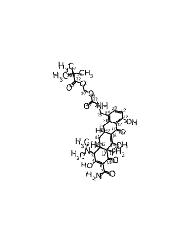 CN(C)[C@@H]1C(O)=C(C(N)=O)C(=O)[C@@]2(P)C(O)=C3C(=O)c4c(O)ccc(CNC(=O)OCOC(=O)C(C)(C)C)c4C[C@H]3C[C@@H]12